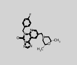 C[C@@H]1CN(Cc2cnc3c(c2)c2ncnn2c(=O)n3Cc2ccc(F)cc2)C[C@H](C)O1